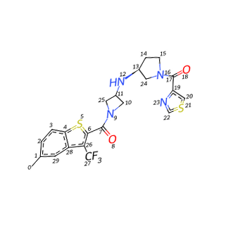 Cc1ccc2sc(C(=O)N3CC(N[C@H]4CCN(C(=O)c5cscn5)C4)C3)c(C(F)(F)F)c2c1